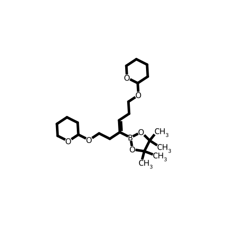 CC1(C)OB(/C(=C\CCOC2CCCCO2)CCOC2CCCCO2)OC1(C)C